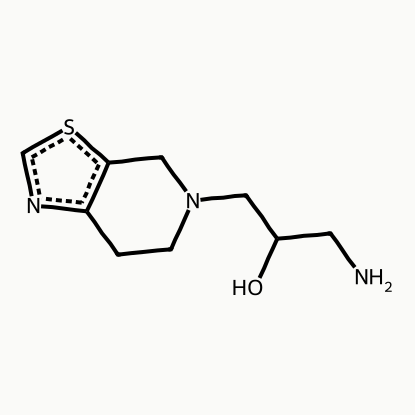 NCC(O)CN1CCc2ncsc2C1